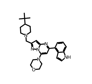 CC(C)(C)C1CCN(Cc2cc3nc(-c4cccc5[nH]ccc45)cc(N4CCOCC4)n3n2)CC1